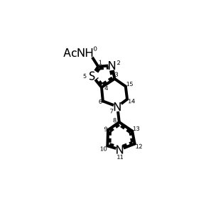 CC(=O)Nc1nc2c(s1)CN(c1ccncc1)CC2